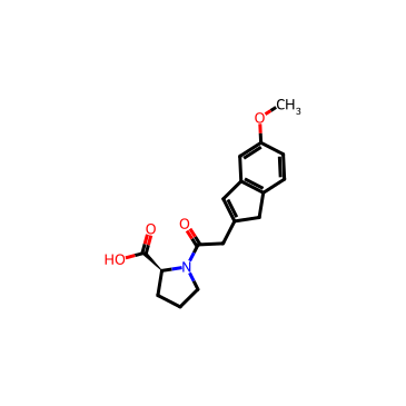 COc1ccc2c(c1)C=C(CC(=O)N1CCC[C@H]1C(=O)O)C2